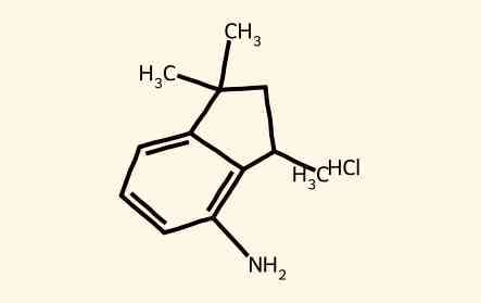 CC1CC(C)(C)c2cccc(N)c21.Cl